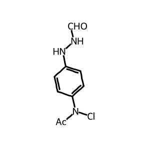 CC(=O)N(Cl)c1ccc(NNC=O)cc1